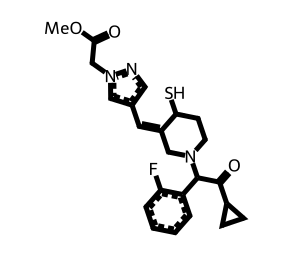 COC(=O)Cn1cc(/C=C2/CN(C(C(=O)C3CC3)c3ccccc3F)CCC2S)cn1